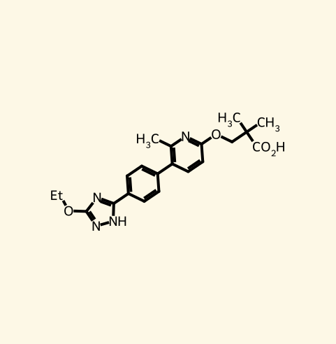 CCOc1n[nH]c(-c2ccc(-c3ccc(OCC(C)(C)C(=O)O)nc3C)cc2)n1